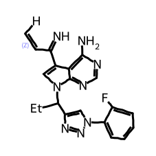 [H]/C=C\C(=N)c1cn(C(CC)c2cn(-c3ccccc3F)nn2)c2ncnc(N)c12